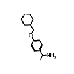 CC(N)c1ccc(OCC2CCCCC2)cc1